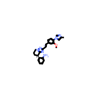 COc1cc(/C=C/c2nc3n(n2)CCC[C@@H]3c2ccccc2N)ccc1-n1cnc(C)c1